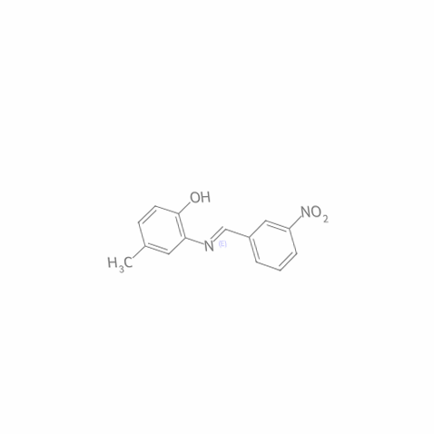 Cc1ccc(O)c(/N=C/c2cccc([N+](=O)[O-])c2)c1